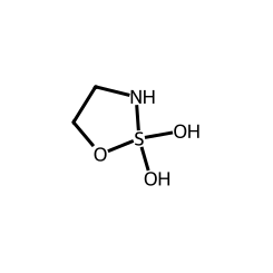 OS1(O)NCCO1